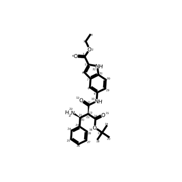 CCOC(=O)c1cc2cc(NC(=O)[C@@H](C(=O)OC(C)(C)C)[C@H](N)c3ccccc3)ccc2[nH]1